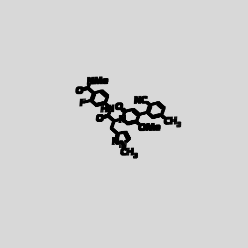 CNC(=O)c1ccc(NC(=O)C(Cc2ccn(C)n2)n2cc(OC)c(-c3cc(C)ccc3C#N)cc2=O)cc1F